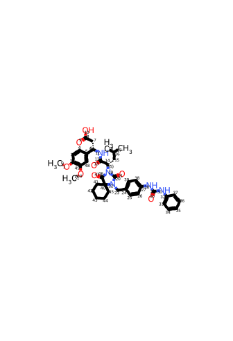 COc1ccc([C@H](CC(=O)O)NC(=O)[C@H](CC(C)C)N2C(=O)N(Cc3ccc(NC(=O)Nc4ccccc4)cc3)C3(CCCCC3)C2=O)cc1OC